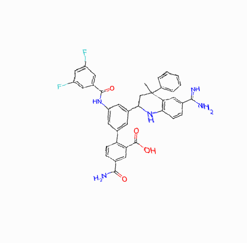 CC1(c2ccccc2)CC(c2cc(NC(=O)c3cc(F)cc(F)c3)cc(-c3ccc(C(N)=O)cc3C(=O)O)c2)Nc2ccc(C(=N)N)cc21